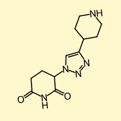 O=C1CCC(n2cc(C3CCNCC3)nn2)C(=O)N1